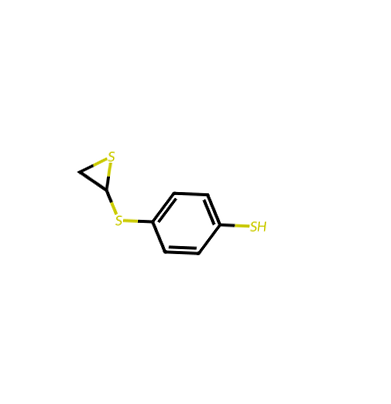 Sc1ccc(SC2CS2)cc1